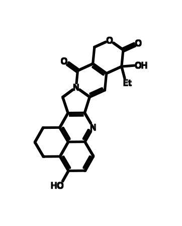 CCC1(O)C(=O)OCc2c1cc1n(c2=O)Cc2c-1nc1ccc(O)c3c1c2CCC3